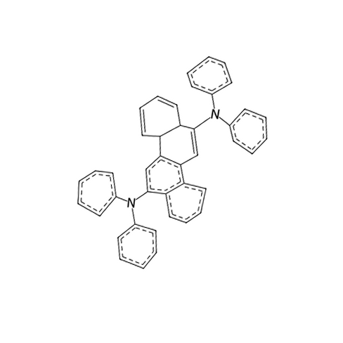 C1=CC2C(N(c3ccccc3)c3ccccc3)=Cc3c(cc(N(c4ccccc4)c4ccccc4)c4ccccc34)C2C=C1